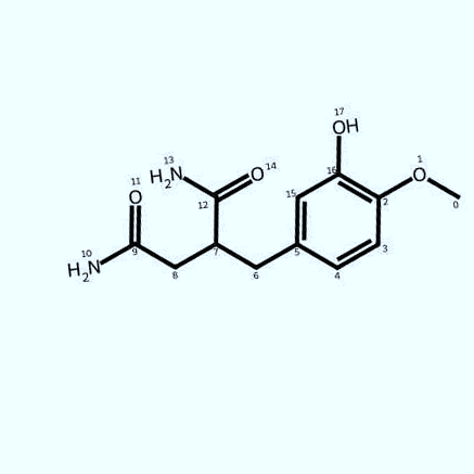 COc1ccc(CC(CC(N)=O)C(N)=O)cc1O